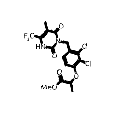 COC(=O)C(C)Oc1ccc(Cn2c(=O)[nH]c(C(F)(F)F)c(C)c2=O)c(Cl)c1Cl